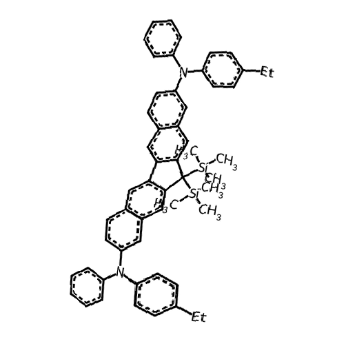 CCc1ccc(N(c2ccccc2)c2ccc3cc4c(cc3c2)C([Si](C)(C)C)([Si](C)(C)C)c2cc3cc(N(c5ccccc5)c5ccc(CC)cc5)ccc3cc2-4)cc1